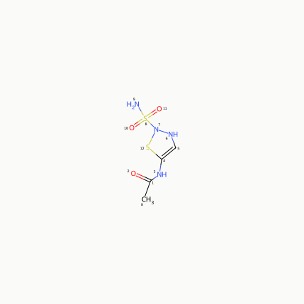 CC(=O)NC1=CNN(S(N)(=O)=O)S1